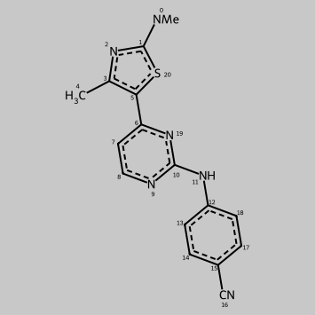 CNc1nc(C)c(-c2ccnc(Nc3ccc(C#N)cc3)n2)s1